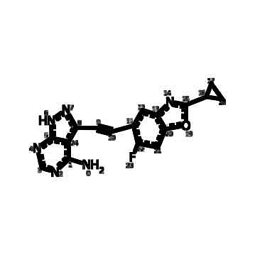 Nc1ncnc2[nH]nc(C#Cc3cc4nc(C5CC5)oc4cc3F)c12